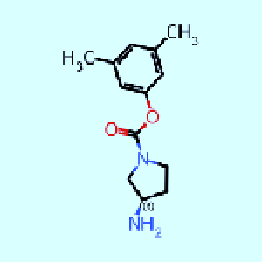 Cc1cc(C)cc(OC(=O)N2CC[C@@H](N)C2)c1